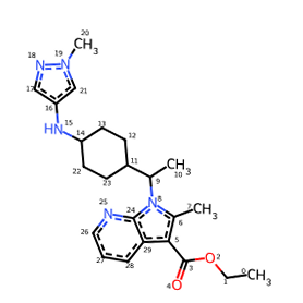 CCOC(=O)c1c(C)n(C(C)C2CCC(Nc3cnn(C)c3)CC2)c2ncccc12